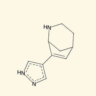 C1=C(c2cn[nH]c2)C2CC1CCN2